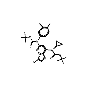 Cc1ccc(N(C(=O)OC(C)(C)C)c2cc(N(C(=O)OC(C)(C)C)C3CC3)c3ncc(Br)n3n2)cc1C